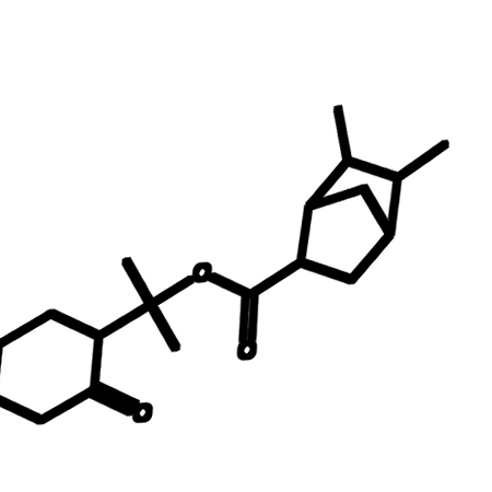 CC1C2CC(C(=O)OC(C)(C)C3CCCCC3=O)C(C2)C1C